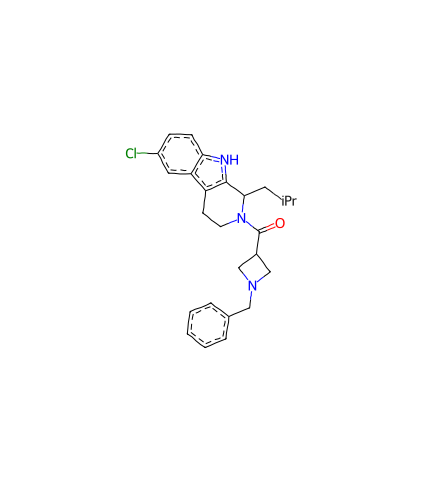 CC(C)CC1c2[nH]c3ccc(Cl)cc3c2CCN1C(=O)C1CN(Cc2ccccc2)C1